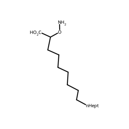 CCCCCCCCCCCCCCC(ON)C(=O)O